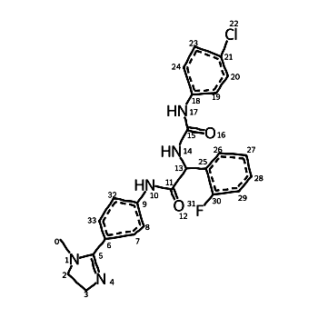 CN1CCN=C1c1ccc(NC(=O)C(NC(=O)Nc2ccc(Cl)cc2)c2ccccc2F)cc1